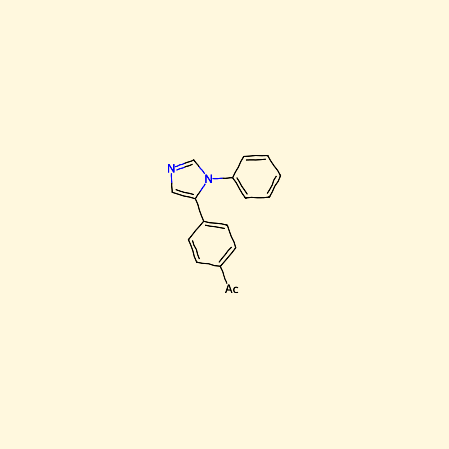 CC(=O)c1ccc(-c2cncn2-c2ccccc2)cc1